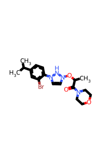 CC(ON1C=CN(c2ccc(C(C)C)cc2Br)N1)C(=O)N1CCOCC1